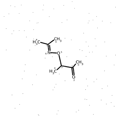 CC(=O)C(C)ON=C(C)C